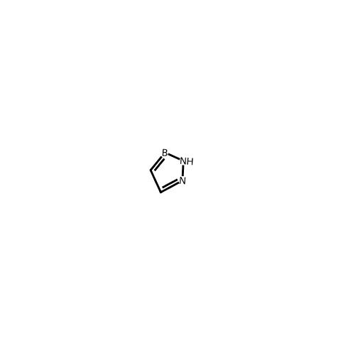 b1ccn[nH]1